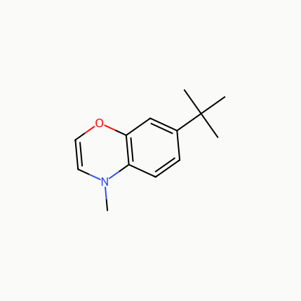 CN1C=COc2cc(C(C)(C)C)ccc21